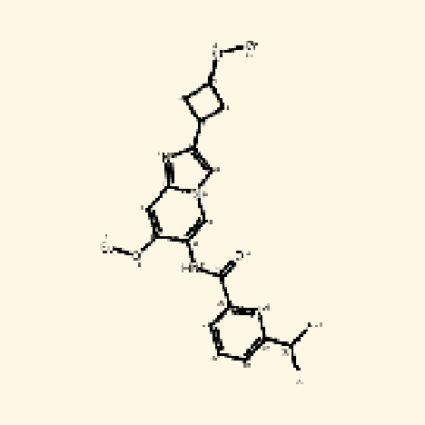 CCOc1cc2nc(C3CC(OC(C)C)C3)cn2cc1NC(=O)c1cccc(C(F)F)n1